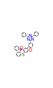 O=P1(c2ccccc2)c2ccccc2Sc2cc3oc4ccc(-c5nc(-c6ccccc6)nc(-c6ccccc6)n5)cc4c3cc21